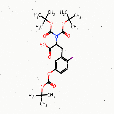 CC(C)(C)OC(=O)Oc1ccc(I)c(CC(C(=O)O)N(C(=O)OC(C)(C)C)C(=O)OC(C)(C)C)c1